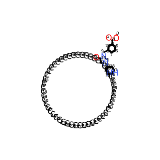 COC(=O)c1cccc(CN2CN(c3ccccc3)C3(CCCCCCCCCCCCCCCCCCCCCCCCCCCCCCCCCCCCCCCCCCCCCCCCNCC3)C2=O)c1